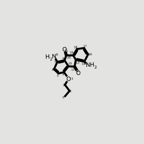 CCCOc1ccc(N)c2c1C(=O)c1c(N)cccc1C2=O